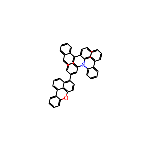 c1ccc(-c2ccccc2N(c2cccc(-c3ccc4c5c(cccc35)-c3ccccc3O4)c2)c2ccccc2-c2cccc3ccccc23)cc1